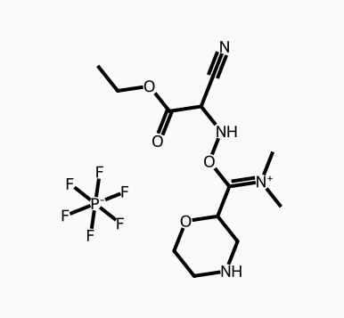 CCOC(=O)C(C#N)NOC(C1CNCCO1)=[N+](C)C.F[P-](F)(F)(F)(F)F